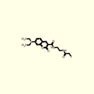 CCN(CC)c1ccc2cc(C(=O)NCCNC(=O)CI)c(=O)oc2c1